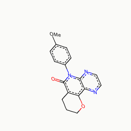 COc1ccc(-n2c(=O)c3c(c4nccnc42)OCCC3)cc1